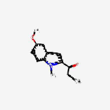 CCC(=O)c1cc2cc(OC)ccc2n1C